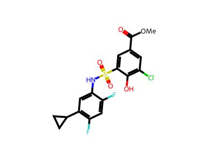 COC(=O)c1cc(Cl)c(O)c(S(=O)(=O)Nc2cc(C3CC3)c(F)cc2F)c1